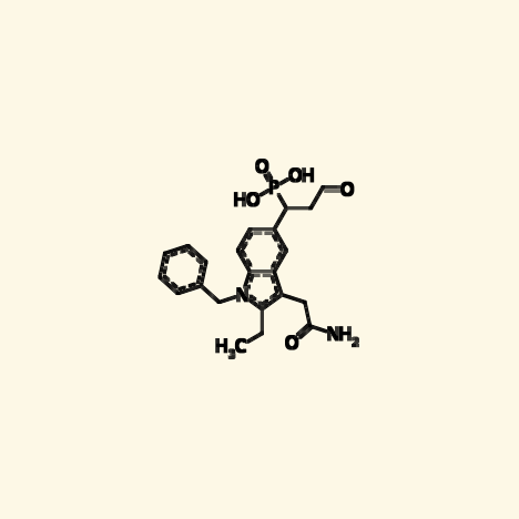 CCc1c(CC(N)=O)c2cc(C(CC=O)P(=O)(O)O)ccc2n1Cc1ccccc1